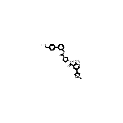 Cn1cc(-c2cnc(N)c(C(=O)N[C@@H]3CCN(C(=O)Oc4cccc(-c5ccc(CO)cc5)c4)C3)c2)cn1